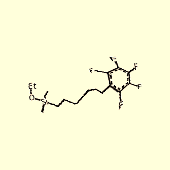 CCO[Si](C)(C)CCCCCc1c(F)c(F)c(F)c(F)c1F